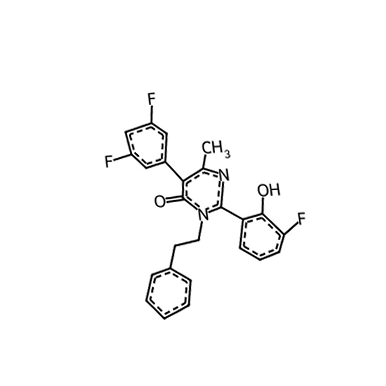 Cc1nc(-c2cccc(F)c2O)n(CCc2ccccc2)c(=O)c1-c1cc(F)cc(F)c1